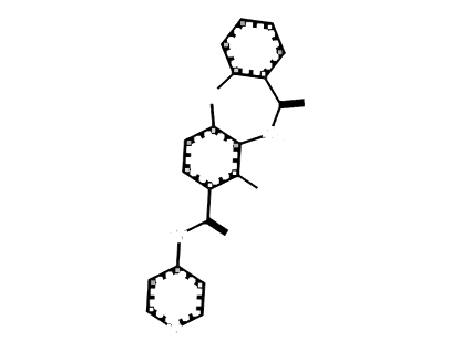 Cc1c(C(=O)Nc2ccncc2)ccc2c1NC(=O)c1ccccc1S2